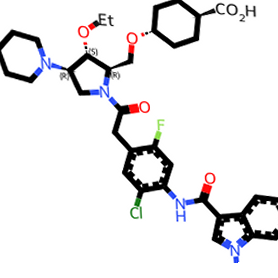 CCO[C@H]1[C@H](N2CCCCC2)CN(C(=O)Cc2cc(Cl)c(NC(=O)c3cn(C)c4ccccc34)cc2F)[C@@H]1CO[C@H]1CC[C@H](C(=O)O)CC1